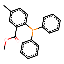 COC(=O)c1cc(C)ccc1P(c1ccccc1)c1ccccc1